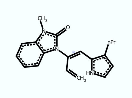 C=C/C(=C\c1[nH]ccc1CCC)n1c(=O)n(C)c2ccccc21